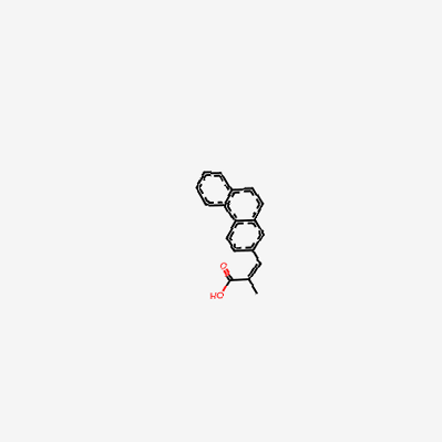 CC(=Cc1ccc2c(ccc3ccccc32)c1)C(=O)O